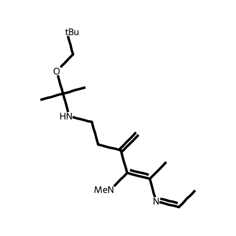 C=C(CCNC(C)(C)OCC(C)(C)C)/C(NC)=C(C)/N=C\C